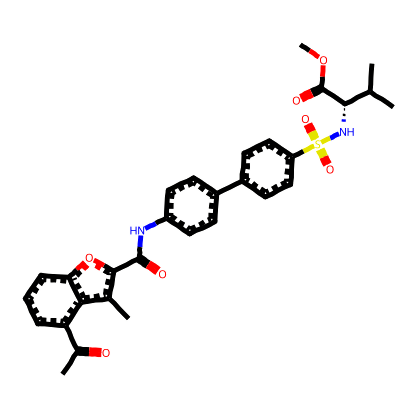 COC(=O)[C@@H](NS(=O)(=O)c1ccc(-c2ccc(NC(=O)c3oc4cccc(C(C)=O)c4c3C)cc2)cc1)C(C)C